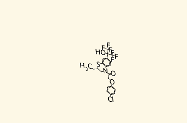 CC[C@H]1CN(C(=O)COc2ccc(Cl)cc2)c2ccc(C(O)(C(F)(F)F)C(F)(F)F)cc2S1